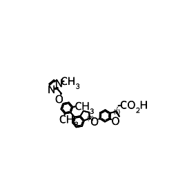 Cc1cc(OCc2nccn2C)cc(C)c1-c1cccc2c1CC[C@H]2Oc1ccc2c(c1)OC[C@H]2CC(=O)O